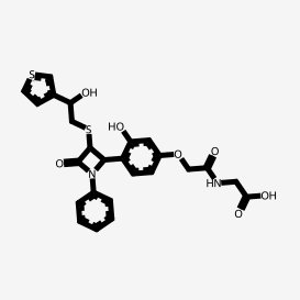 O=C(O)CNC(=O)COc1ccc(C2C(SCC(O)c3ccsc3)C(=O)N2c2ccccc2)c(O)c1